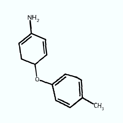 Cc1ccc(OC2C=CC(N)=CC2)cc1